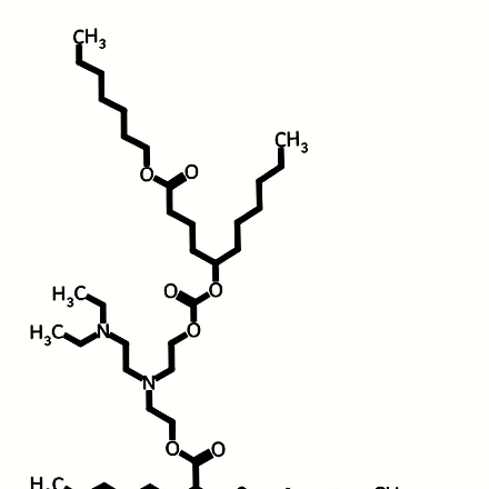 CCCCCCCCC(CCCCCC)C(=O)OCCN(CCOC(=O)OC(CCCCCC)CCCC(=O)OCCCCCCC)CCN(CC)CC